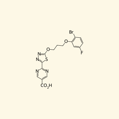 O=C(O)c1cnc(-c2nnc(OCCCOc3cc(F)ccc3Br)s2)nc1